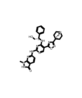 Cn1[nH]c(=O)c2ccc(Nc3ncc(-c4nc(C56CCN(CC5)CC6)no4)c(N[C@H](CO)c4ccccc4)n3)nc21